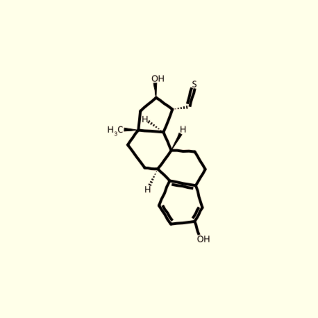 C[C@]12CC[C@@H]3c4ccc(O)cc4CC[C@H]3[C@@H]1[C@@H](C=S)[C@H](O)C2